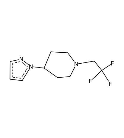 FC(F)(F)CN1CCC(n2cccn2)CC1